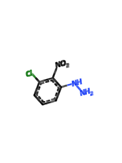 NNc1cccc(Cl)c1[N+](=O)[O-]